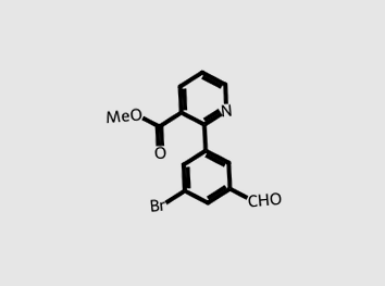 COC(=O)c1cccnc1-c1cc(Br)cc(C=O)c1